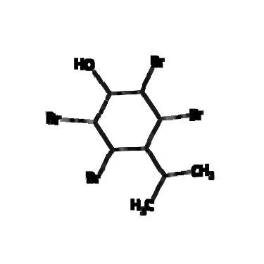 CC(C)C1C(Br)C(Br)C(O)C(Br)C1Br